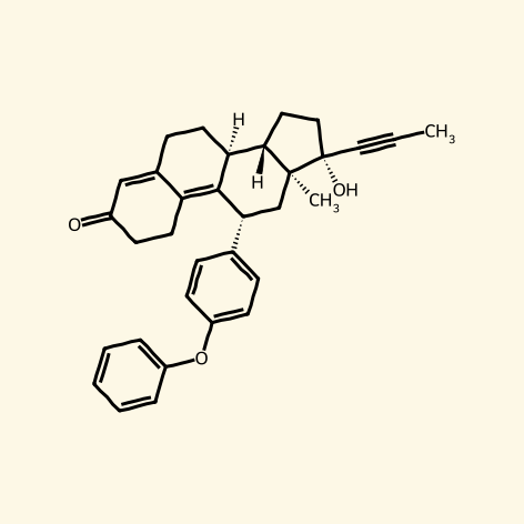 CC#C[C@]1(O)CC[C@H]2[C@@H]3CCC4=CC(=O)CCC4=C3[C@@H](c3ccc(Oc4ccccc4)cc3)C[C@@]21C